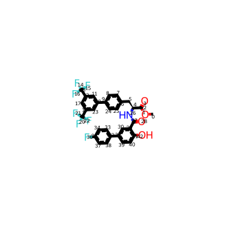 COC(=O)[C@H](Cc1ccc(-c2cc(C(F)(F)F)cc(C(F)(F)F)c2)cc1)NC(=O)c1cc(-c2ccc(F)cc2)ccc1O